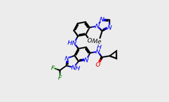 COc1c(Nc2cc(NC(=O)C3CC3)nc3[nH]c(C(F)F)nc23)cccc1-n1ncnc1C